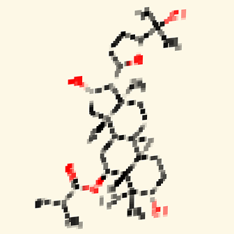 CC(C)C(C)C(=O)O[C@H]1CC2C3(CC[C@]4(C)[C@@H](C5CCC(C(C)(C)O)O5)[C@@H](O)C[C@@]24C)C[C@@]32CC[C@H](O)C(C)(C)[C@H]12